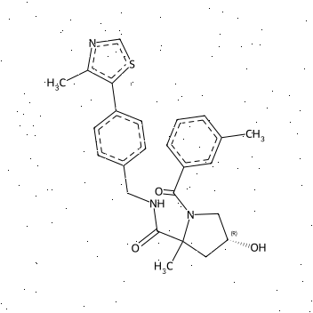 Cc1cccc(C(=O)N2C[C@H](O)CC2(C)C(=O)NCc2ccc(-c3scnc3C)cc2)c1